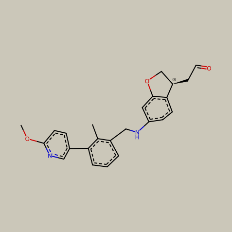 COc1ccc(-c2cccc(CNc3ccc4c(c3)OC[C@H]4CC=O)c2C)cn1